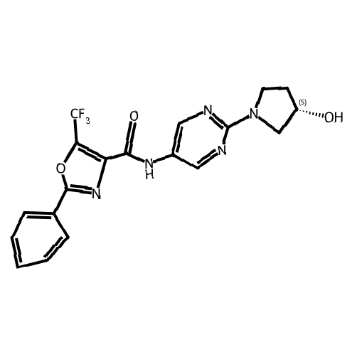 O=C(Nc1cnc(N2CC[C@H](O)C2)nc1)c1nc(-c2ccccc2)oc1C(F)(F)F